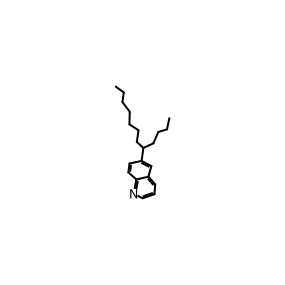 CCCCCCCC(CCCC)c1ccc2ncccc2c1